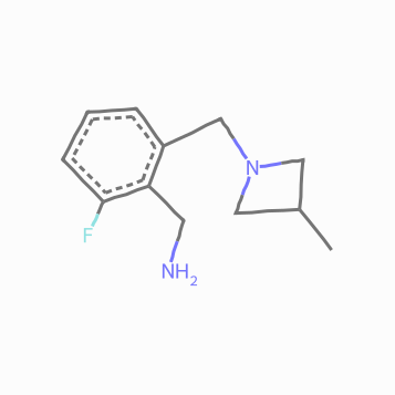 CC1CN(Cc2cccc(F)c2CN)C1